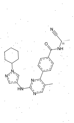 Cc1cnc(Nc2cnn(C3CCCCC3)c2)nc1-c1ccc(C(=O)N[C@@H](C)C#N)cc1